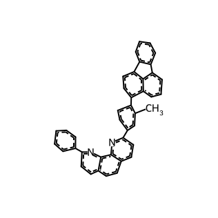 Cc1cc(-c2ccc3ccc4ccc(-c5ccccc5)nc4c3n2)ccc1-c1ccc2c3c(cccc13)-c1ccccc1-2